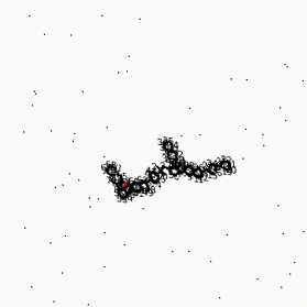 CC(C)(Cc1ccc2c3cc4ccc(-c5ccc(-c6ccccc6)cc5)cc4cc3n3c4cc5ccccc5cc4c1c23)c1ccc(-c2ccc3cc4c5cccc6c5n(c4cc3c2)C2CC3C=CC=CC3CC62)cc1